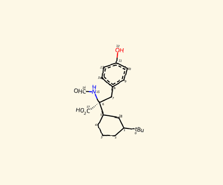 CC(C)(C)C1CCCC([C@](Cc2ccc(O)cc2)(NC=O)C(=O)O)C1